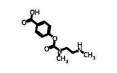 CNCCN(C)C(=O)Oc1ccc(C(=O)O)cc1